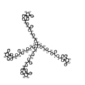 O=C(COCC(=O)ON1C(=O)CCC1=O)OCCOCCOCC(COCCOCCOC(=O)COCC(=O)ON1C(=O)CCC1=O)(COCCOCCOC(=O)COCC(=O)ON1C(=O)CCC1=O)COCCOCCOC(=O)COCC(=O)ON1C(=O)CCC1=O